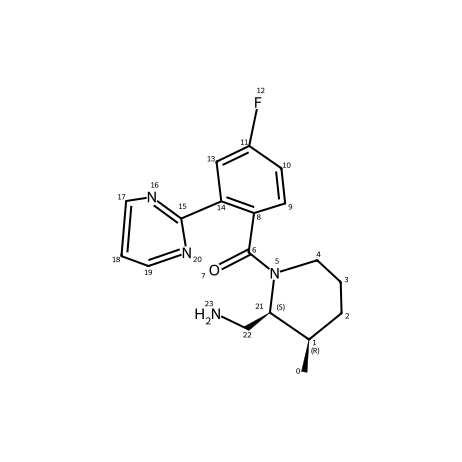 C[C@@H]1CCCN(C(=O)c2ccc(F)cc2-c2ncccn2)[C@@H]1CN